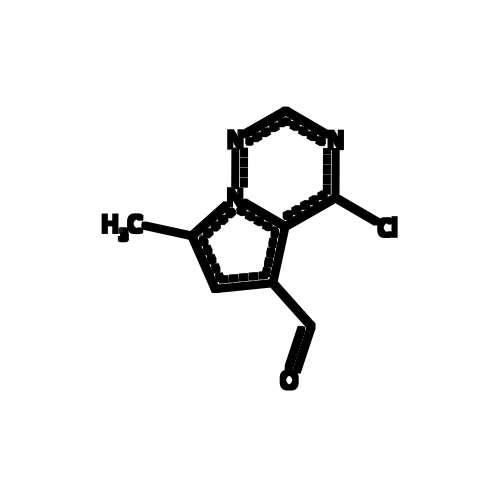 Cc1cc(C=O)c2c(Cl)ncnn12